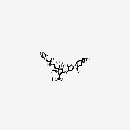 C[C@@H](NC(=O)Cn1cnnn1)[C@H]1C(=O)N2C(C(=O)O)=C(S[C@@H]3CN[C@H](C(=O)N4CCC5(CNC5)C4)C3)[C@H](C)[C@H]12